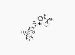 CC(C)(C)OC(=O)NCC(=O)Nc1cccc(NC(=N)N2CCCC2)c1